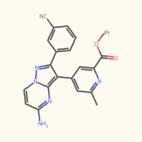 Cc1cc(-c2c(-c3cccc(C#N)c3)nn3ccc(N)nc23)cc(C(=O)OC(C)C)n1